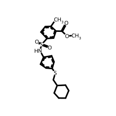 COC(=O)c1cc(S(=O)(=O)Nc2ccc(SCC3CCCCC3)cc2)ccc1C